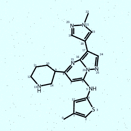 Cc1csc(Nc2cc(C3CCCNC3)nc3c(-c4cnn(C)c4)cnn23)c1